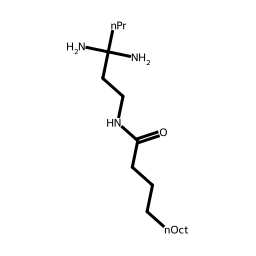 CCCCCCCCCCCC(=O)NCCC(N)(N)CCC